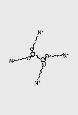 C[N+](C)(C)CCCCCCCCOc1cc(/C=C/c2cc(OCCCCCCCC[N+](C)(C)C)cc(OCCCCCCCC[N+](C)(C)C)c2)cc(OCCCCCCCC[N+](C)(C)C)c1